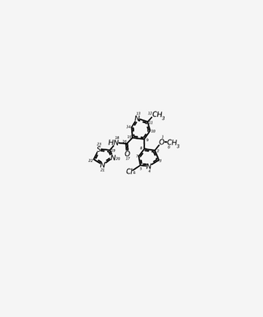 COc1cnc(Cl)cc1-c1cc(C)ncc1C(=O)Nc1nncs1